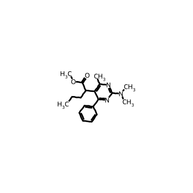 CCCC(C(=O)OC)c1c(C)nc(N(C)C)nc1-c1ccccc1